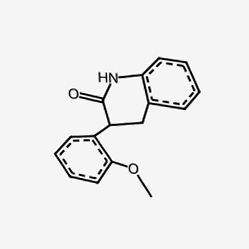 COc1ccccc1C1Cc2ccccc2NC1=O